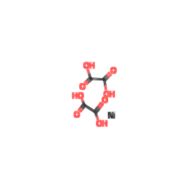 O=C(O)C(=O)O.O=C(O)C(=O)O.[Ni]